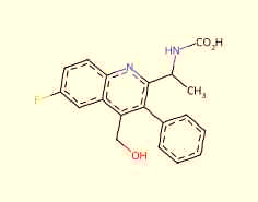 CC(NC(=O)O)c1nc2ccc(F)cc2c(CO)c1-c1ccccc1